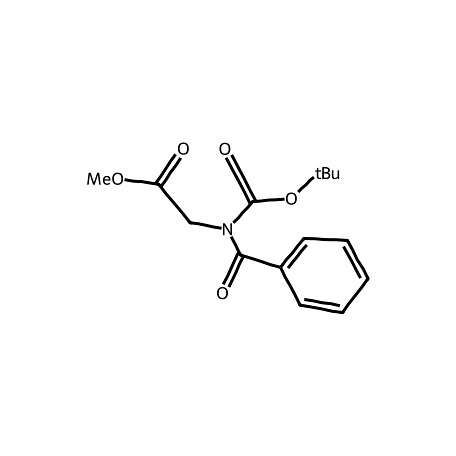 COC(=O)CN(C(=O)OC(C)(C)C)C(=O)c1ccccc1